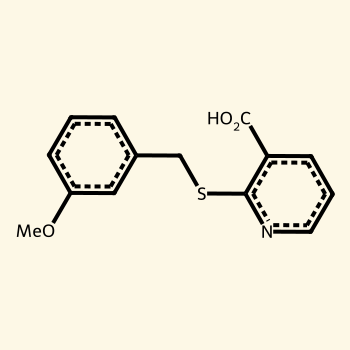 COc1cccc(CSc2ncccc2C(=O)O)c1